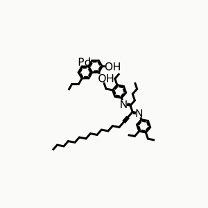 CCCCCCCCCCCCCC#CC(=Nc1ccc(CC)c(CC)c1)C(CCCC)=Nc1ccc(CC)c(CC)c1.CCCc1ccc2ccc(O)c(O)c2c1.[Pd]